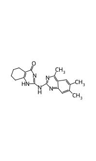 Cc1cc2nc(Nc3nc(=O)c4c([nH]3)CCCC4)nc(C)c2cc1C